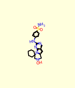 NS(=O)(=O)c1ccc(Nc2ncc3cc4n(c3n2)C2(CCCCC2)CN(O)C4)cc1